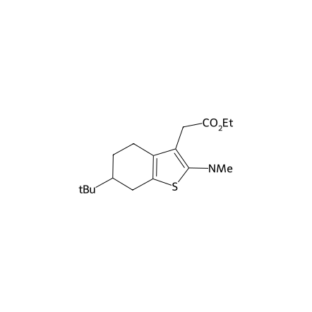 CCOC(=O)Cc1c(NC)sc2c1CCC(C(C)(C)C)C2